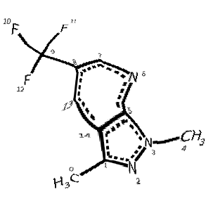 Cc1nn(C)c2ncc(C(F)(F)F)cc12